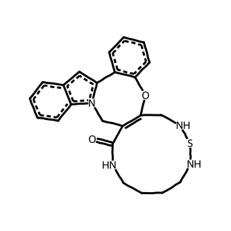 O=C1NCCCCNSNC/C2=C\1Cn1c(cc3ccccc31)-c1ccccc1O2